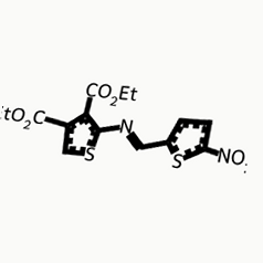 CCOC(=O)c1csc(N=Cc2ccc([N+](=O)[O-])s2)c1C(=O)OCC